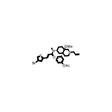 C=CCN1CC[C@@]2(c3cccc(OC(C)=O)c3)C[C@H](N(C)C(=O)/C=C/c3cc(Br)cs3)CC[C@]2(OC)C1